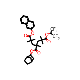 CC(C)(CC(C)(CC(C)(C)C(=O)OC(C(F)(F)F)C(F)(F)F)C(=O)OC1CC2CCC1C2)C(=O)Oc1ccc2ccccc2c1